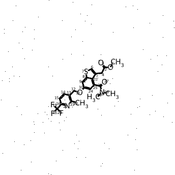 COC(=O)Cc1csc2cc(OCc3ccc(C(F)(F)F)nc3C)cc(C(=O)N(C)C)c12